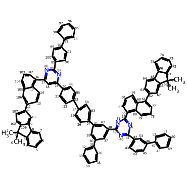 CC1(C)c2ccccc2-c2cc(-c3ccc4c(-c5cc(-c6ccc(-c7ccc(-c8cc(-c9ccccc9)cc(-c9nc(-c%10cccc(-c%11ccccc%11)c%10)nc(-c%10cccc%11c(-c%12ccc%13c(c%12)C(C)(C)c%12ccccc%12-%13)cccc%10%11)n9)c8)cc7)cc6)nc(-c6ccc(-c7ccccc7)cc6)n5)cccc4c3)ccc21